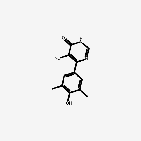 Cc1cc(-c2nc[nH]c(=O)c2C#N)cc(C)c1O